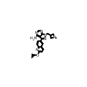 CN1CC(Cn2nc(-c3ccc4nc(OC5CC5)ccc4c3)c3c(N)ncnc32)C1